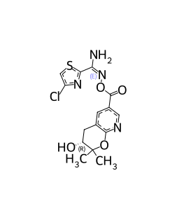 CC1(C)Oc2ncc(C(=O)O/N=C(/N)c3nc(Cl)cs3)cc2C[C@H]1O